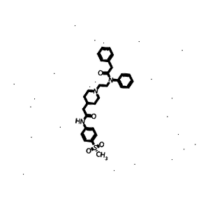 CS(=O)(=O)c1ccc(NC(=O)CC2CCN(CCN(C(=O)Cc3ccccc3)c3ccccc3)CC2)cc1